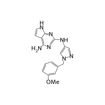 COc1cccc(Cn2cc(Nc3nc(N)c4cc[nH]c4n3)cn2)c1